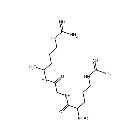 CC(=O)NC(CCCNC(=N)N)C(=O)NCC(=O)NC(C)CCCNC(=N)N